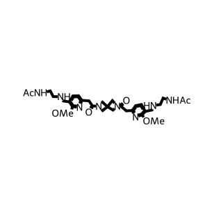 COc1nc(CC(=O)N2CC3(C2)CN(C(=O)Cc2ccc(CNCCNC(C)=O)c(OC)n2)C3)ccc1CNCCNC(C)=O